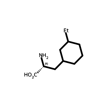 CCC1CCCC(C[C@@H](N)C(=O)O)C1